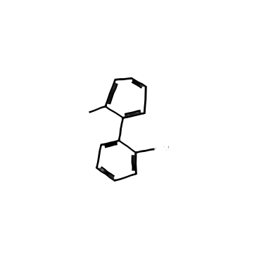 COc1ccccc1-c1ccccc1F